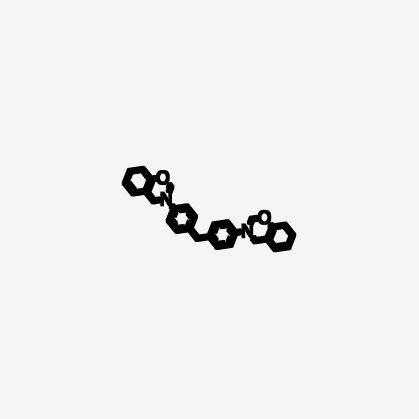 C1=CC2=C(CC1)OCN(c1ccc(Cc3ccc(N4COC5=C(C=CCC5)C4)cc3)cc1)C2